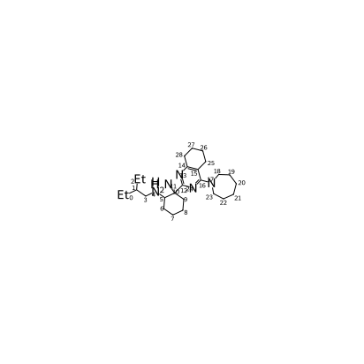 CCC(CC)CNC1CCCCC1(N)c1nc2c(c(N3CCCCCC3)n1)CCCC2